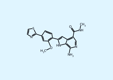 CNC(=O)c1cnc(N)c2[nH]c(-c3ccc(-c4nccs4)cc3OC)cc12